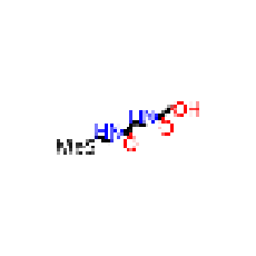 CSCCNC(=O)CCNC(=O)CO